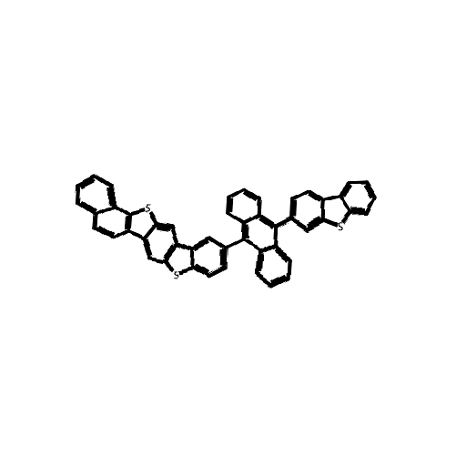 c1ccc2c(c1)ccc1c3cc4sc5ccc(-c6c7ccccc7c(-c7ccc8c(c7)sc7ccccc78)c7ccccc67)cc5c4cc3sc21